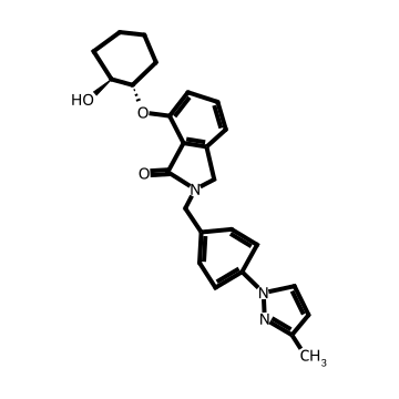 Cc1ccn(-c2ccc(CN3Cc4cccc(O[C@H]5CCCC[C@@H]5O)c4C3=O)cc2)n1